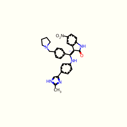 Cc1nc(-c2ccc(N/C(=C3\C(=O)Nc4ccc([N+](=O)[O-])cc43)c3ccc(CN4CCCC4)cc3)cc2)c[nH]1